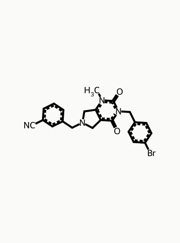 Cn1c2c(c(=O)n(Cc3ccc(Br)cc3)c1=O)CN(Cc1cccc(C#N)c1)C2